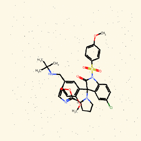 COc1ccc(S(=O)(=O)N2C(=O)C(c3cc(CNC(C)(C)C)ccc3OC)(N3CCC[C@H]3c3ncco3)c3cc(Cl)ccc32)cc1